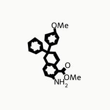 COC(=O)c1c(N)ccc2c1C=CC(c1ccccc1)(c1ccc(OC)cc1)C2